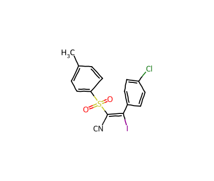 [C-]#[N+]C(=C(I)c1ccc(Cl)cc1)S(=O)(=O)c1ccc(C)cc1